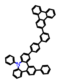 c1ccc(-c2ccc3c(c2)-c2cc(-c4ccc(-c5cccc(-c6ccc7c8ccccc8c8ccccc8c7c6)c5)cc4)ccc2N(c2ccccc2)c2ccccc2-3)cc1